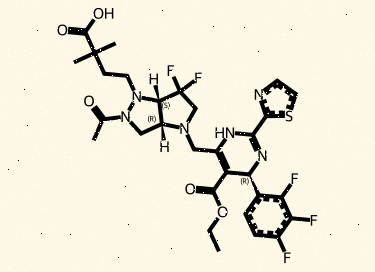 CCOC(=O)C1=C(CN2CC(F)(F)[C@@H]3[C@H]2CN(C(C)=O)N3CCC(C)(C)C(=O)O)NC(c2nccs2)=N[C@H]1c1ccc(F)c(F)c1F